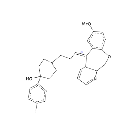 COc1ccc2c(c1)/C(=C/CCN1CCC(O)(c3ccc(F)cc3)CC1)C1C=CC=NC1CO2